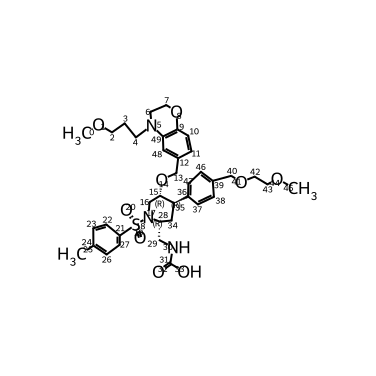 COCCCN1CCOc2ccc(CO[C@H]3CN(S(=O)(=O)c4ccc(C)cc4)[C@@H](CNC(=O)O)C[C@@H]3c3ccc(COCCOC)cc3)cc21